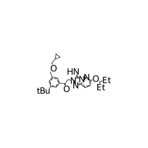 CCC(CC)Oc1ccc2nn(CC(=O)c3cc(COCC4CC4)cc(C(C)(C)C)c3)c(=N)n2n1